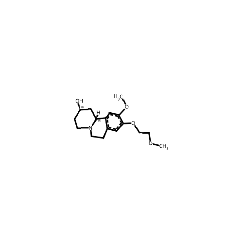 COCCOc1cc2c(cc1OC)[C@H]1C[C@H](O)CCN1CC2